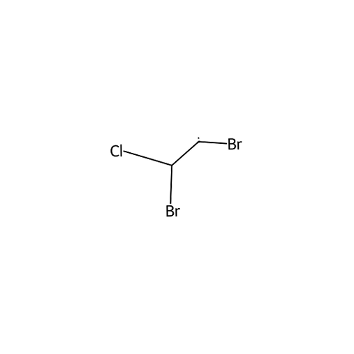 ClC(Br)[CH]Br